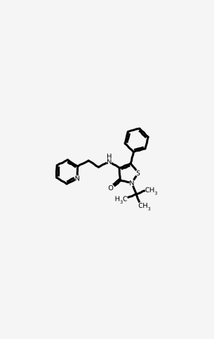 CC(C)(C)n1sc(-c2ccccc2)c(NCCc2ccccn2)c1=O